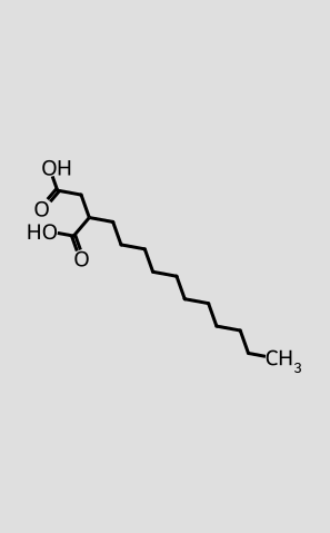 CCCCCCCCCCCC(CC(=O)O)C(=O)O